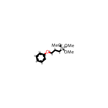 CO[Si](CCCOc1ccccc1)(OC)OC